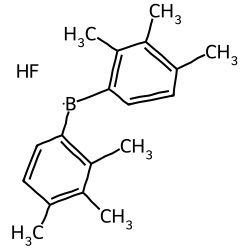 Cc1ccc([B]c2ccc(C)c(C)c2C)c(C)c1C.F